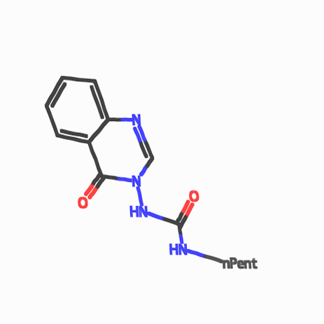 CCCCCNC(=O)Nn1cnc2ccccc2c1=O